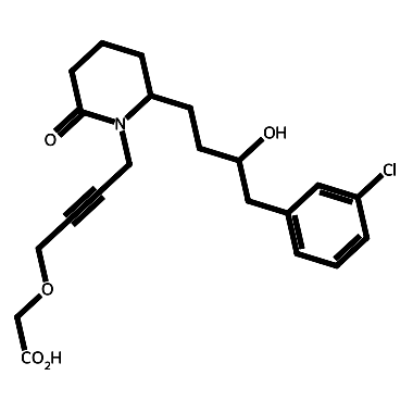 O=C(O)COCC#CCN1C(=O)CCCC1CCC(O)Cc1cccc(Cl)c1